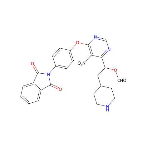 O=COC(CC1CCNCC1)c1ncnc(Oc2ccc(N3C(=O)c4ccccc4C3=O)cc2)c1[N+](=O)[O-]